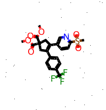 COC(=O)C1(C(=O)OC)CC(c2ccc(C(F)(F)F)cc2)=C(c2ccc(S(C)(=O)=O)nc2)C1